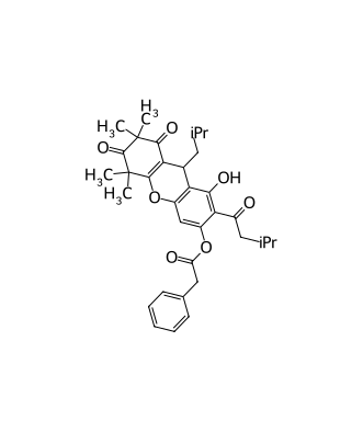 CC(C)CC(=O)c1c(OC(=O)Cc2ccccc2)cc2c(c1O)C(CC(C)C)C1=C(O2)C(C)(C)C(=O)C(C)(C)C1=O